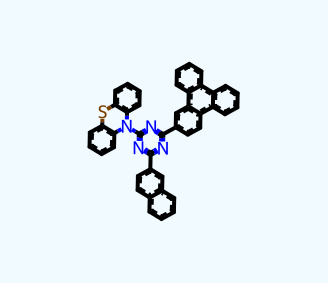 c1ccc2c(c1)Sc1ccccc1N2c1nc(-c2ccc3ccccc3c2)nc(-c2ccc3c4ccccc4c4ccccc4c3c2)n1